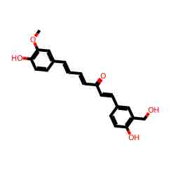 COc1cc(/C=C/C=C/C(=O)/C=C/c2ccc(O)c(CO)c2)ccc1O